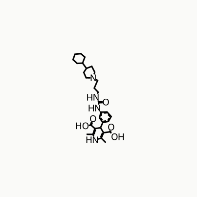 CC1=C(C(=O)O)C(c2cccc(NC(=O)NCCCN3CCC(C4CCCCC4)CC3)c2)C(C(=O)O)=C(C)N1